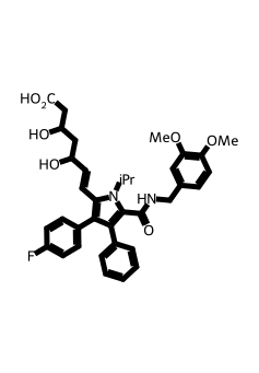 COc1ccc(CNC(=O)c2c(-c3ccccc3)c(-c3ccc(F)cc3)c(C=CC(O)CC(O)CC(=O)O)n2C(C)C)cc1OC